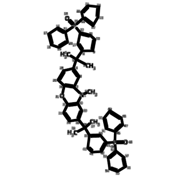 CN1c2cc(C(C)(C)c3cccc(P(=O)(c4ccccc4)c4ccccc4)c3)ccc2Oc2ccc(C(C)(C)c3cccc(P(=O)(c4ccccc4)c4ccccc4)c3)cc21